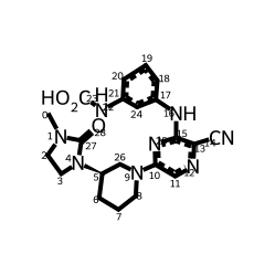 CN1CCN([C@@H]2CCCN(c3cnc(C#N)c(Nc4cccc(NC(=O)O)c4)n3)C2)C1=O